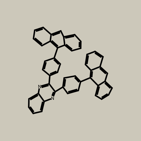 c1ccc2c(-c3ccc(-c4nc5ccccc5nc4-c4ccc(-c5c6ccccc6cc6ccccc56)cc4)cc3)c3ccccc3cc2c1